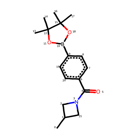 CC1CN(C(=O)c2ccc(B3OC(C)(C)C(C)(C)O3)cc2)C1